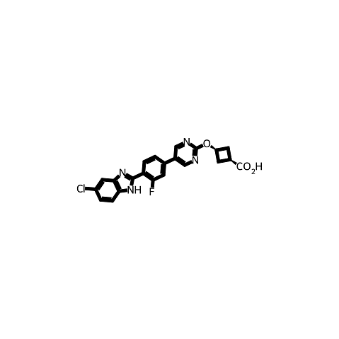 O=C(O)[C@H]1C[C@@H](Oc2ncc(-c3ccc(-c4nc5cc(Cl)ccc5[nH]4)c(F)c3)cn2)C1